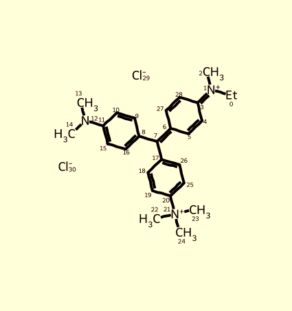 CC[N+](C)=C1C=CC(=C(c2ccc(N(C)C)cc2)c2ccc([N+](C)(C)C)cc2)C=C1.[Cl-].[Cl-]